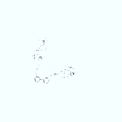 COC(=O)CCNC(=O)[C@@H]1OP(=O)(OCCCOCc2cccc(-c3cccc(COC(=O)CCNC(=O)[C@@H]4OP(=O)(O)OCC4(C)C)c3)c2)OCC1(C)C